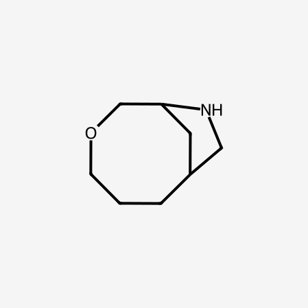 C1COCC2CC(C1)CN2